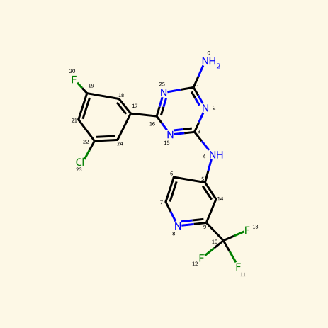 Nc1nc(Nc2ccnc(C(F)(F)F)c2)nc(-c2cc(F)cc(Cl)c2)n1